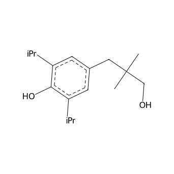 CC(C)c1cc(CC(C)(C)CO)cc(C(C)C)c1O